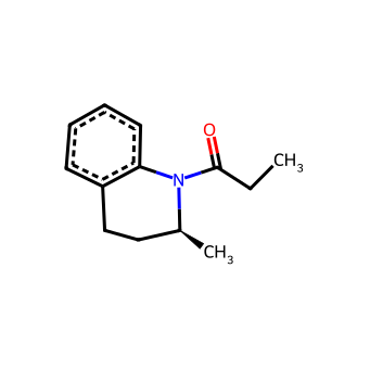 CCC(=O)N1c2ccccc2CC[C@@H]1C